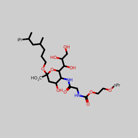 CCCOCCOC(=O)NCC(=O)NC1C(O)CC(OCCCC(C)CC(C)C(C)C)(C(=O)O)OC1C(O)C(O)CO